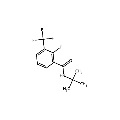 CC(C)(C)NC(=O)c1cccc(C(F)(F)F)c1F